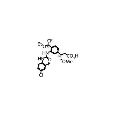 CCO[C@@H](c1ccc([C@@H](COC)CC(=O)O)cc1NC(=O)Nc1ccc(Cl)cc1F)C(F)(F)F